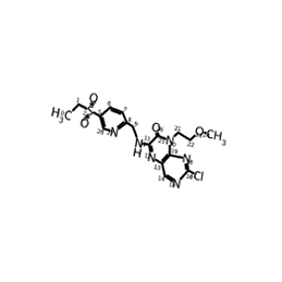 CCS(=O)(=O)c1ccc(CNc2nc3cnc(Cl)nc3n(CCOC)c2=O)nc1